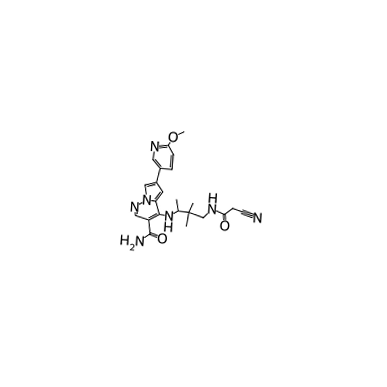 COc1ccc(-c2cc3c(NC(C)C(C)(C)CNC(=O)CC#N)c(C(N)=O)cnn3c2)cn1